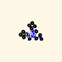 C=C(/C=C\c1nc2n(-c3nc(-c4cccc(-n5c6ccccc6c6ccccc65)c4)nc(-n4c5ccccc5n5c6cc([Si](c7ccccc7)(c7ccccc7)c7ccccc7)ccc6nc45)n3)c3ccccc3n2c1C)[Si](c1ccccc1)(c1ccccc1)c1ccccc1